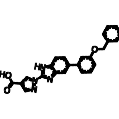 O=C(O)c1cnn(-c2nc3cc(-c4cccc(OCc5ccccc5)c4)ccc3[nH]2)c1